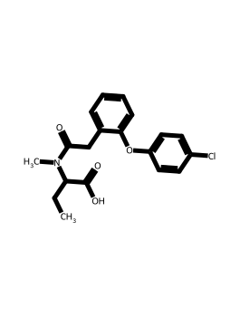 CCC(C(=O)O)N(C)C(=O)Cc1ccccc1Oc1ccc(Cl)cc1